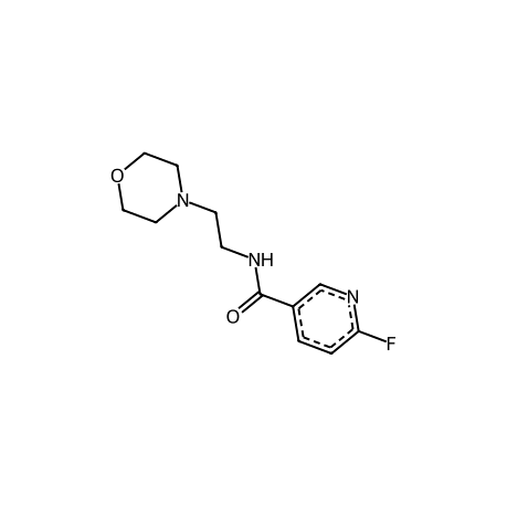 O=C(NCCN1CCOCC1)c1ccc(F)nc1